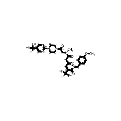 COc1ccc(Cn2nc(CC(=O)N(C)CC(=O)N3CCN(c4ncc(C(F)(F)F)cn4)CC3)cc(C(F)(F)F)c2=O)cc1